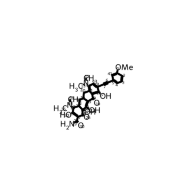 COc1cccc(C#Cc2cc(N(C)C)c3c(c2O)C(=O)C2=C(O)[C@]4(O)C(=O)C(C(N)=O)=C(O)[C@@H](N(C)C)C4CC2C3)c1